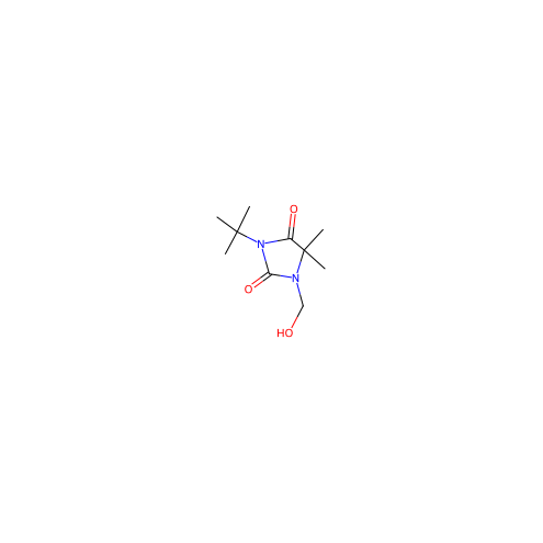 CC(C)(C)N1C(=O)N(CO)C(C)(C)C1=O